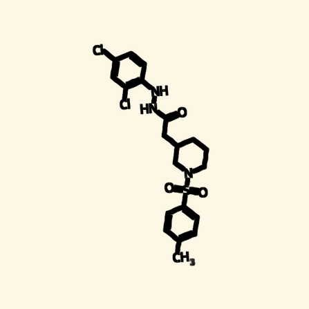 Cc1ccc(S(=O)(=O)N2CCCC(CC(=O)NNc3ccc(Cl)cc3Cl)C2)cc1